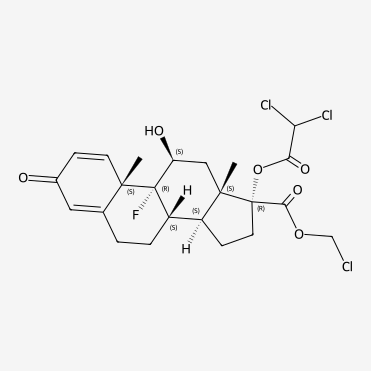 C[C@]12C=CC(=O)C=C1CC[C@H]1[C@@H]3CC[C@](OC(=O)C(Cl)Cl)(C(=O)OCCl)[C@@]3(C)C[C@H](O)[C@@]12F